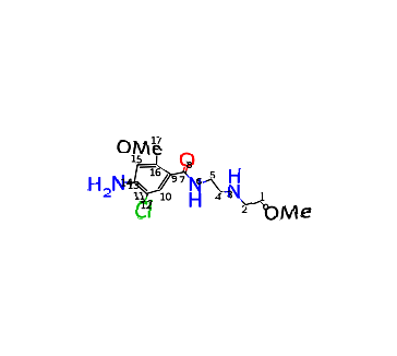 COCCNCCNC(=O)c1cc(Cl)c(N)cc1OC